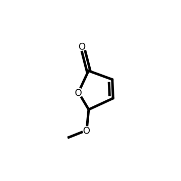 COC1C=CC(=O)O1